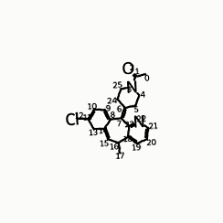 CC(=O)N1CCC(=C2C3=CC=C(Cl)CC3=CC(C)c3cccnc32)CC1